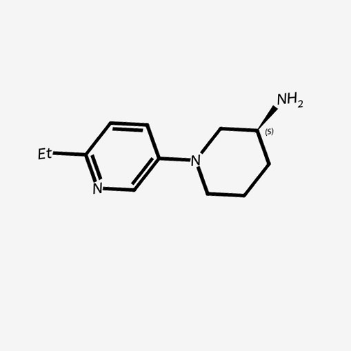 CCc1ccc(N2CCC[C@H](N)C2)cn1